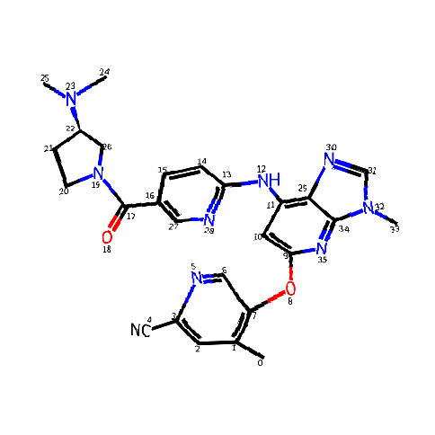 Cc1cc(C#N)ncc1Oc1cc(Nc2ccc(C(=O)N3CC[C@@H](N(C)C)C3)cn2)c2ncn(C)c2n1